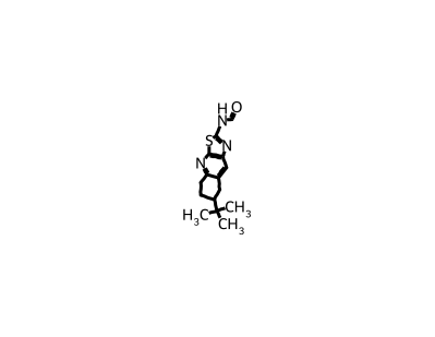 CC(C)(C)C1CCc2nc3sc(NC=O)nc3cc2C1